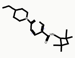 C=C(/C=C\C(=C/C)C(=O)NC1C(C)(C)CC1(C)C)N1CCC(CC)CC1